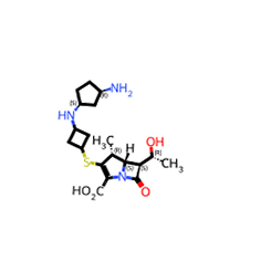 C[C@@H](O)[C@H]1C(=O)N2C(C(=O)O)=C(SC3CC(N[C@H]4CC[C@@H](N)C4)C3)[C@H](C)[C@H]12